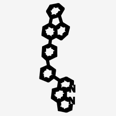 c1cc(-c2ccc(-c3ccc4c5c(cccc35)-c3ccccc3-4)cc2)cc(-c2ccnc3c2ccc2cccnc23)c1